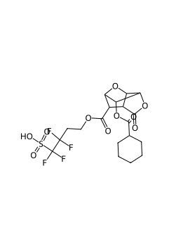 O=C(OC1C2OC(=O)C3C2OC1C3C(=O)OCCC(F)(F)C(F)(F)S(=O)(=O)O)C1CCCCC1